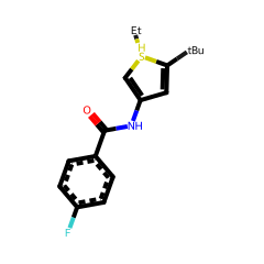 CC[SH]1C=C(NC(=O)c2ccc(F)cc2)C=C1C(C)(C)C